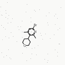 Cc1cc(Br)nc(C)c1C1CCOCC1